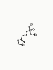 CCOP(=O)(COCc1nc[nH]n1)OCC